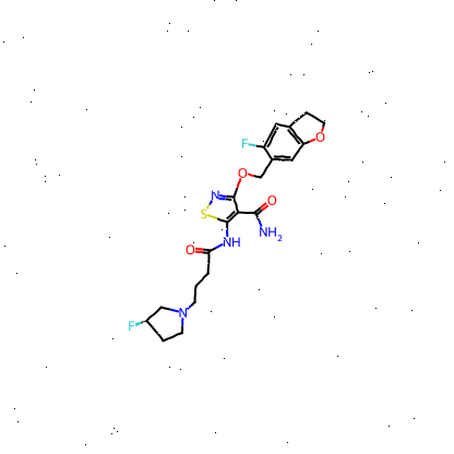 NC(=O)c1c(OCc2cc3c(cc2F)CCO3)nsc1NC(=O)CCCN1CC[C@@H](F)C1